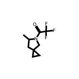 CC1CC2(CC2)CN1C(=O)C(F)(F)F